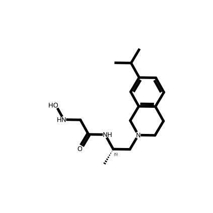 CC(C)c1ccc2c(c1)CN(C[C@H](C)NC(=O)CNO)CC2